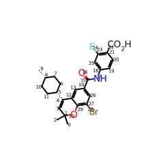 CC1(C)C=C([C@H]2CC[C@@H](C)CC2)c2cc(C(=O)Nc3ccc(C(=O)O)c(F)c3)cc(Br)c2O1